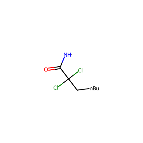 CCCCCC(Cl)(Cl)C([NH])=O